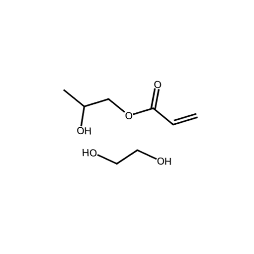 C=CC(=O)OCC(C)O.OCCO